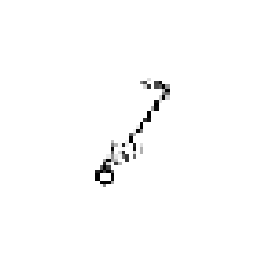 CCCCCCCC/C=C\CCCCCCCC(=O)NC(CC)[N+](C)(C)Cc1ccccc1.[Cl-]